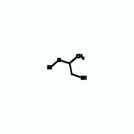 CCOC(C)CS